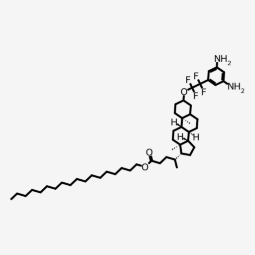 CCCCCCCCCCCCCCCCCCOC(=O)CCC(C)[C@H]1CC[C@H]2[C@@H]3CCC4CC(OC(F)(F)C(F)(F)c5cc(N)cc(N)c5)CC[C@]4(C)[C@H]3CC[C@]12C